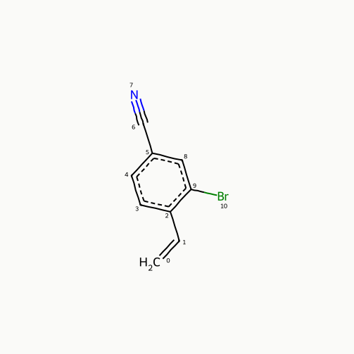 C=Cc1ccc(C#N)cc1Br